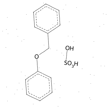 O=S(=O)(O)O.c1ccc(COc2ccccc2)cc1